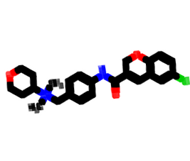 C[N+](C)(Cc1ccc(NC(=O)C2=Cc3cc(Cl)ccc3OC2)cc1)C1CCOCC1